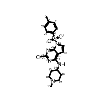 Cc1ccc(S(=O)(=O)n2ccc3c(NC4CCN(C)CC4)nc(Cl)nc32)cc1